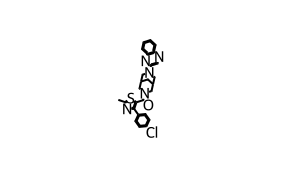 Cc1nc(-c2ccc(Cl)cc2)c(C(=O)N2CC3CC(C2)CN(c2cnc4ccccc4n2)C3)s1